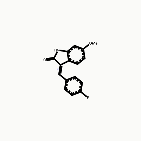 COc1ccc2c(c1)NC(=O)/C2=C/c1ccc(F)cc1